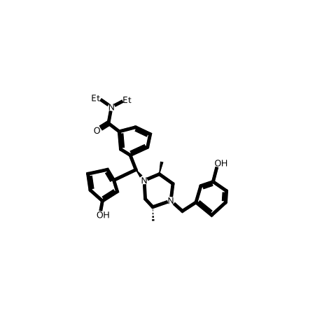 CCN(CC)C(=O)c1cccc([C@H](c2cccc(O)c2)N2C[C@@H](C)N(Cc3cccc(O)c3)C[C@@H]2C)c1